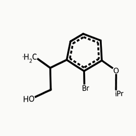 [CH2]C(CO)c1cccc(OC(C)C)c1Br